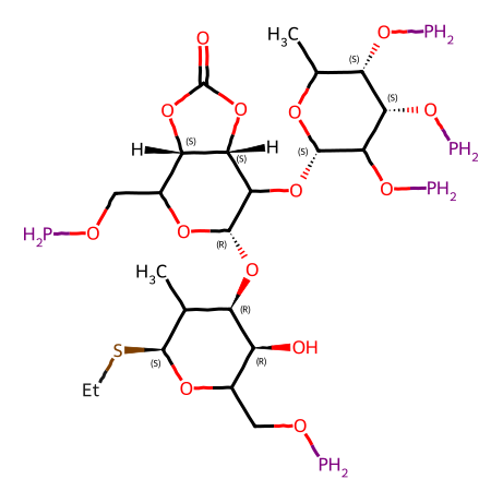 CCS[C@@H]1OC(COP)[C@H](O)[C@H](O[C@@H]2OC(COP)[C@@H]3OC(=O)O[C@@H]3C2O[C@@H]2OC(C)[C@H](OP)[C@H](OP)C2OP)C1C